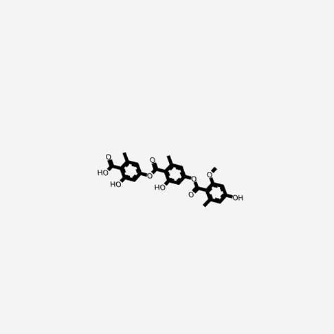 COc1cc(O)cc(C)c1C(=O)Oc1cc(C)c(C(=O)Oc2cc(C)c(C(=O)O)c(O)c2)c(O)c1